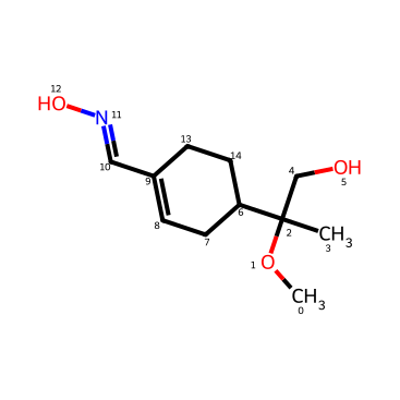 COC(C)(CO)C1CC=C(/C=N/O)CC1